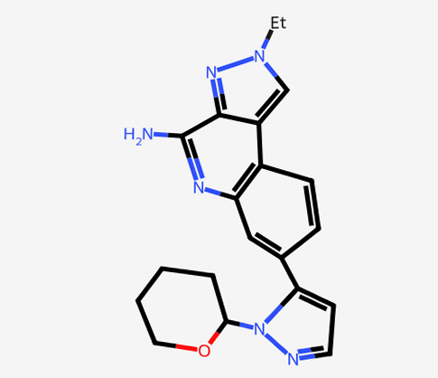 [CH2]Cn1cc2c(n1)c(N)nc1cc(-c3ccnn3C3CCCCO3)ccc12